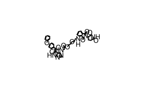 O=C1CCC(N2C(=O)c3cccc(NCCOCCOC(=O)CNc4ncnc5[nH]cc(C(=O)c6ccc(Oc7ccccc7)cc6Cl)c45)c3C2=O)C(=O)N1